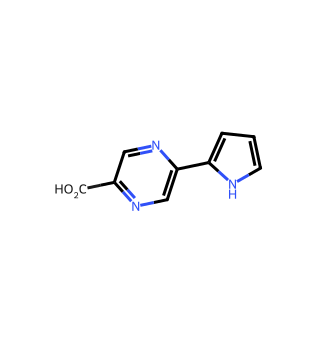 O=C(O)c1cnc(-c2ccc[nH]2)cn1